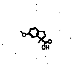 COc1ccc2c(c1)C(C)(C(=O)O)CC2